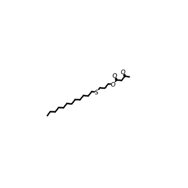 CCCCCCCCCCCCSCCCOC(=O)CC(C)=O